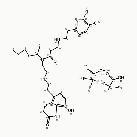 CCCC[C@@H](C)N(CCNCCc1ccc(O)c2c1OCC(=O)N2)C(=O)CCNCCc1ccc(Cl)c(Cl)c1.O=C(O)C(F)(F)F.O=C(O)C(F)(F)F